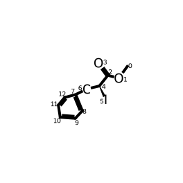 COC(=O)[C@@H](I)Cc1ccccc1